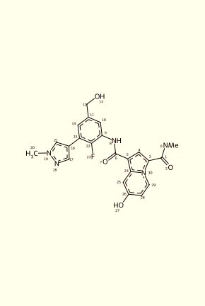 CNC(=O)c1cc(C(=O)Nc2cc(CO)cc(-c3cnn(C)c3)c2F)c2cc(O)ccn12